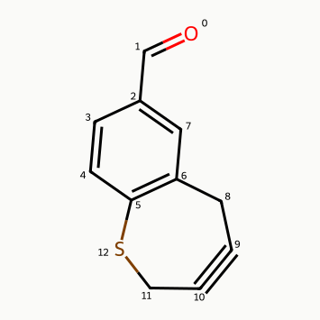 O=Cc1ccc2c(c1)CC#CCS2